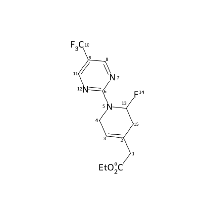 CCOC(=O)CC1=CCN(c2ncc(C(F)(F)F)cn2)C(F)C1